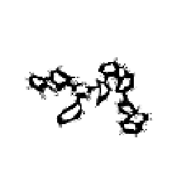 c1ccc(-c2nc(-c3cccc(-c4cccc5oc6ccc(-c7ccc8c(ccc9ccccc98)c7)cc6c45)c3)nc(-c3cccc4c3sc3ccccc34)n2)cc1